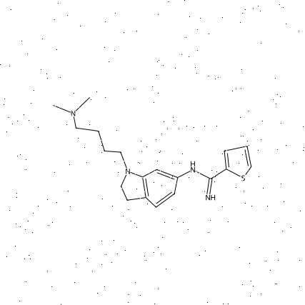 CN(C)CCCCN1CCc2ccc(NC(=N)c3cccs3)cc21